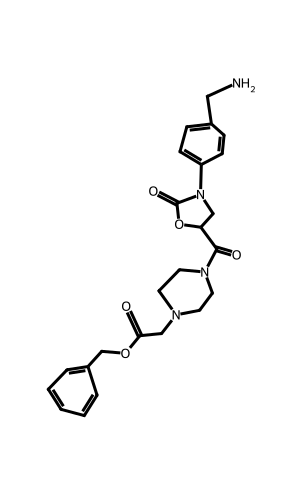 NCc1ccc(N2CC(C(=O)N3CCN(CC(=O)OCc4ccccc4)CC3)OC2=O)cc1